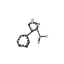 O=[N+]([O-])c1n[nH]cc1-c1ccccc1